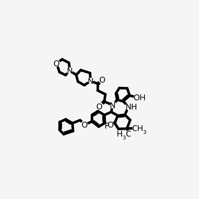 CC1(C)CC(=O)C2=C(C1)NC1=C(O)CCC=C1N(C(=O)CCC(=O)N1CCC(N3CCOCC3)CC1)C2c1ccc(OCc2ccccc2)cc1F